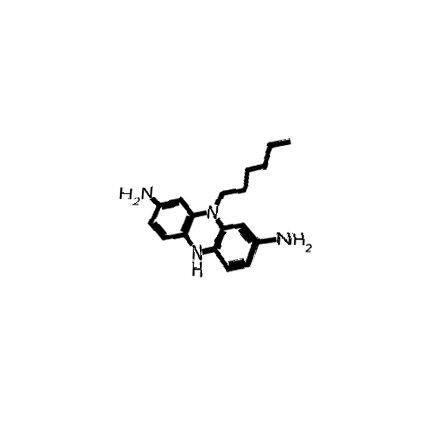 CCCCCCN1c2cc(N)ccc2Nc2ccc(N)cc21